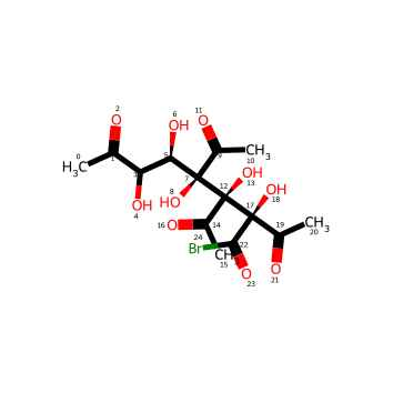 CC(=O)C(O)[C@@H](O)[C@](O)(C(C)=O)[C@@](O)(C(C)=O)[C@](O)(C(C)=O)C(=O)Br